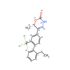 CCc1ccccc1-c1ccc(C2=NNC(=O)O[C@H]2C)cc1C(F)(F)F